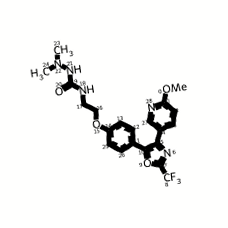 COc1ccc(-c2nc(C(F)(F)F)oc2-c2ccc(OCCNC(=O)NN(C)C)cc2)cn1